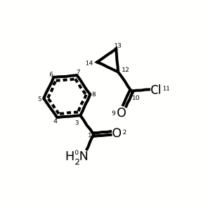 NC(=O)c1ccccc1.O=C(Cl)C1CC1